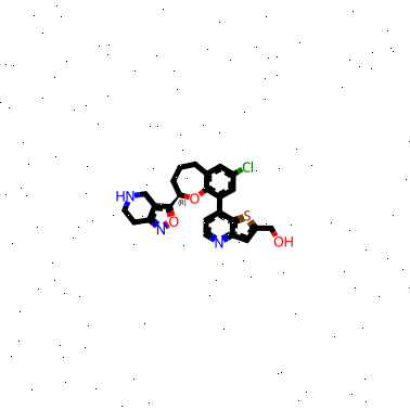 OCc1cc2nccc(-c3cc(Cl)cc4c3O[C@@H](c3onc5c3CNCC5)CCC4)c2s1